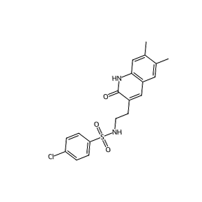 Cc1cc2cc(CCNS(=O)(=O)c3ccc(Cl)cc3)c(=O)[nH]c2cc1C